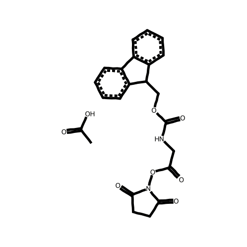 CC(=O)O.O=C(CNC(=O)OCC1c2ccccc2-c2ccccc21)ON1C(=O)CCC1=O